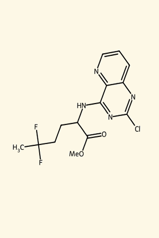 COC(=O)C(CCC(C)(F)F)Nc1nc(Cl)nc2cccnc12